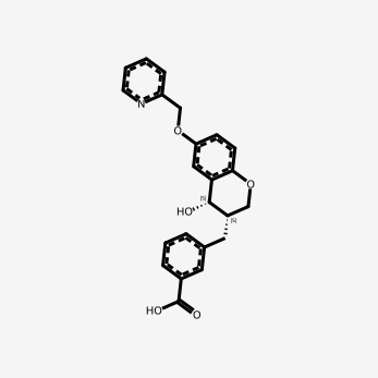 O=C(O)c1cccc(C[C@H]2COc3ccc(OCc4ccccn4)cc3[C@H]2O)c1